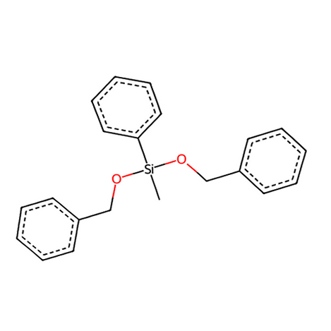 C[Si](OCc1ccccc1)(OCc1ccccc1)c1ccccc1